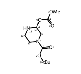 COC(=O)O[C@H]1CN(C(=O)OC(C)(C)C)CCN1